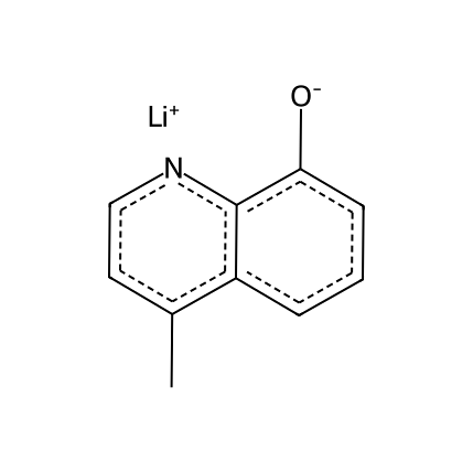 Cc1ccnc2c([O-])cccc12.[Li+]